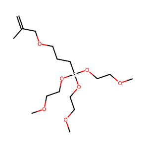 C=C(C)COCCC[Si](OCCOC)(OCCOC)OCCOC